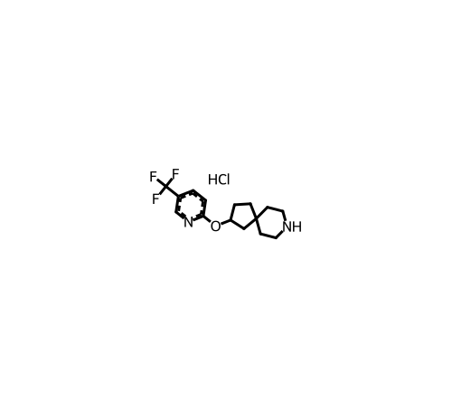 Cl.FC(F)(F)c1ccc(OC2CCC3(CCNCC3)C2)nc1